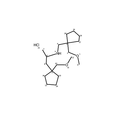 COCC1(CNC(C)CC2(COC)CCCC2)CCCC1.Cl